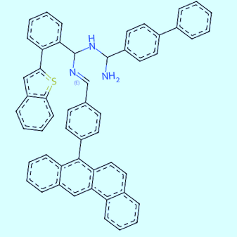 NC(NC(/N=C/c1ccc(-c2c3ccccc3cc3c2ccc2ccccc23)cc1)c1ccccc1-c1cc2ccccc2s1)c1ccc(-c2ccccc2)cc1